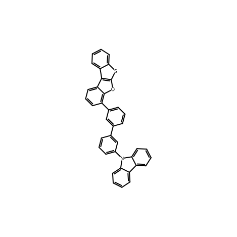 c1cc(-c2cccc(-n3c4ccccc4c4ccccc43)c2)cc(-c2cccc3c2oc2sc4ccccc4c23)c1